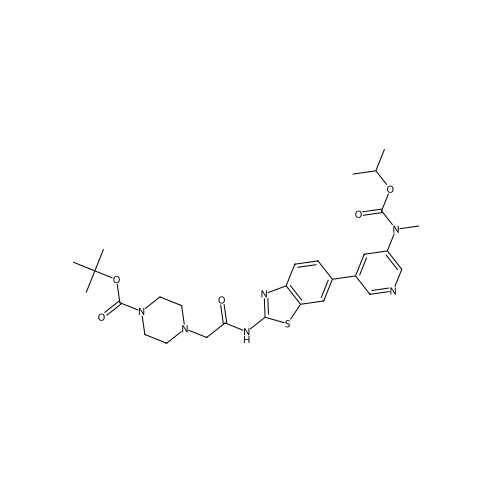 CC(C)OC(=O)N(C)c1cncc(-c2ccc3nc(NC(=O)CN4CCN(C(=O)OC(C)(C)C)CC4)sc3c2)c1